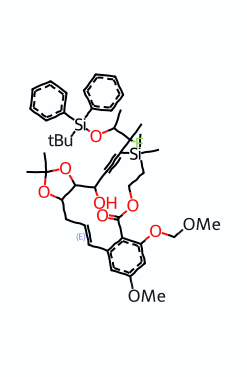 COCOc1cc(OC)cc(/C=C/CC2OC(C)(C)OC2C(O)C#CC(C)(F)C(C)O[Si](c2ccccc2)(c2ccccc2)C(C)(C)C)c1C(=O)OCC[Si](C)(C)C